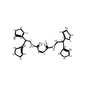 O=C(/C=C\C(=O)OCC(C1=CCCC1)C1=CCCC1)OCC(C1=CCCC1)C1=CCCC1